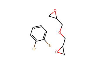 Brc1ccccc1Br.C(OCC1CO1)C1CO1